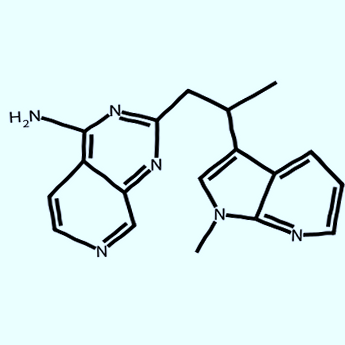 CC(Cc1nc(N)c2ccncc2n1)c1cn(C)c2ncccc12